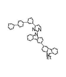 CCn1c2ccccc2c2cc(-c3ccc4c(c3)c3ccccc3n4-c3nccc(-c4cccc(-c5ccc(-c6ccccc6)cc5)c4)n3)ccc21